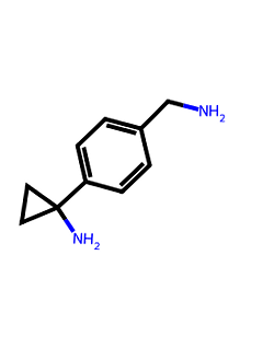 NCc1ccc(C2(N)CC2)cc1